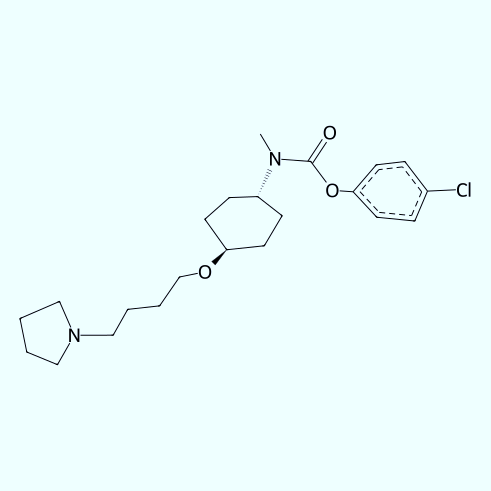 CN(C(=O)Oc1ccc(Cl)cc1)[C@H]1CC[C@H](OCCCCN2CCCC2)CC1